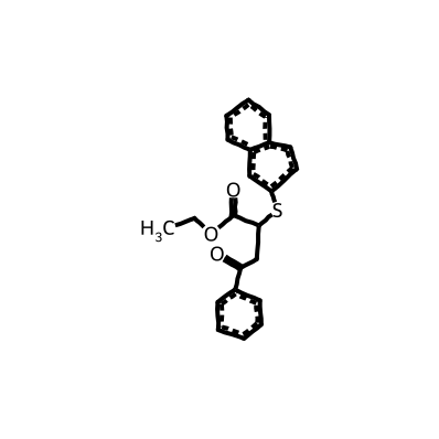 CCOC(=O)C(CC(=O)c1ccccc1)Sc1ccc2ccccc2c1